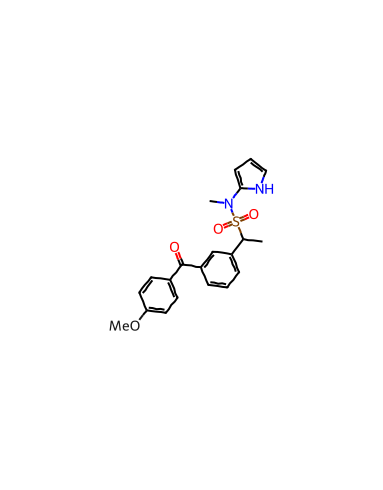 COc1ccc(C(=O)c2cccc(C(C)S(=O)(=O)N(C)c3ccc[nH]3)c2)cc1